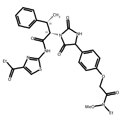 CCC(=O)c1csc(NC(=O)[C@H]([C@@H](C)c2ccccc2)N2C(=O)NC(c3ccc(OCC(=O)N(CC)OC)cc3)C2=O)n1